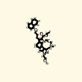 CCOC(=O)c1c(CCCOc2cccc3ccccc23)c2cccc3c2n1CCCN(C)Cc1nn(CCOC)c(C)c1-3